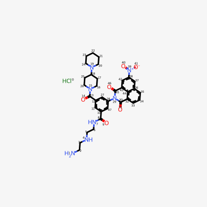 Cl.NCCNCCNC(=O)c1cc(C(=O)N2CCC(N3CCCCC3)CC2)cc(N2C(=O)c3cccc4cc([N+](=O)[O-])cc(c34)C2=O)c1